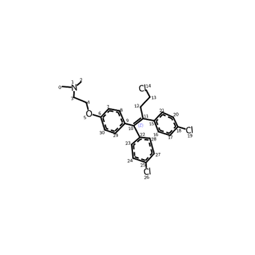 CN(C)CCOc1ccc(/C(=C(\CCCl)c2ccc(Cl)cc2)c2ccc(Cl)cc2)cc1